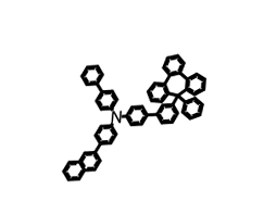 c1ccc(-c2ccc(N(c3ccc(-c4cccc(C5(c6ccccc6)c6ccccc6-c6ccccc6-c6ccccc65)c4)cc3)c3ccc(-c4ccc5ccccc5c4)cc3)cc2)cc1